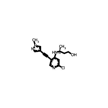 C[C@@H](CCO)Nc1cc(Cl)ncc1C#Cc1cnn(C)c1